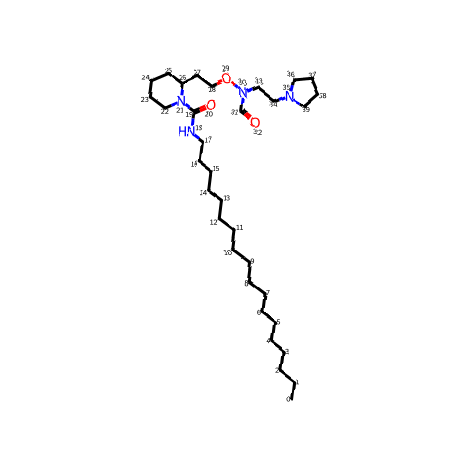 CCCCCCCCCCCCCCCCCCNC(=O)N1CCCCC1CCON(C=O)CCN1CCCC1